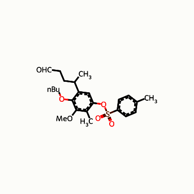 CCCCOc1c(C(C)CCC=O)cc(OS(=O)(=O)c2ccc(C)cc2)c(C)c1OC